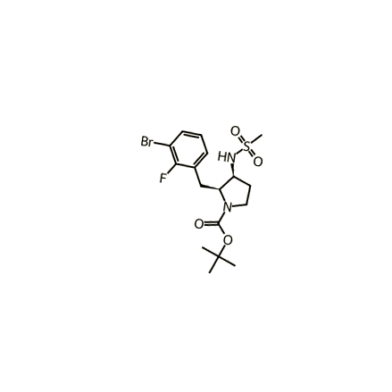 CC(C)(C)OC(=O)N1CC[C@H](NS(C)(=O)=O)[C@@H]1Cc1cccc(Br)c1F